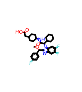 COC(c1ccc(F)cc1)c1nc2cc(F)c(F)cc2n1C(C(=O)NC1CCC(CC(=O)O)CC1)C1CCCCC1